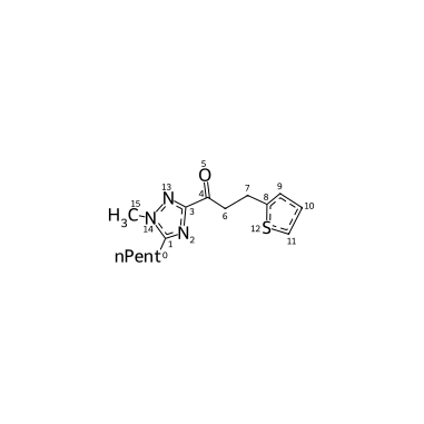 CCCCCc1nc(C(=O)CCc2cccs2)nn1C